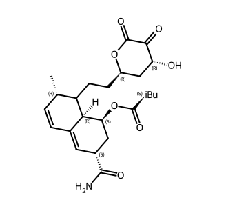 CC[C@H](C)C(=O)O[C@H]1C[C@H](C(N)=O)C=C2C=C[C@H](C)C(CC[C@@H]3C[C@@H](O)C(=O)C(=O)O3)[C@H]21